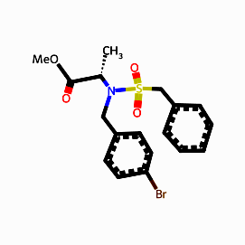 COC(=O)[C@H](C)N(Cc1ccc(Br)cc1)S(=O)(=O)Cc1ccccc1